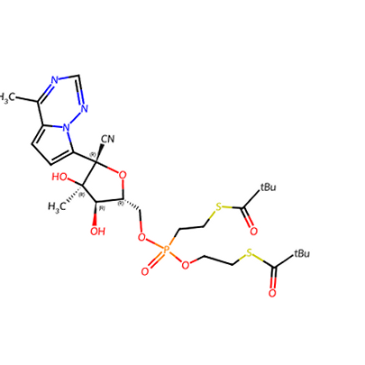 Cc1ncnn2c([C@]3(C#N)O[C@H](COP(=O)(CCSC(=O)C(C)(C)C)OCCSC(=O)C(C)(C)C)[C@@H](O)[C@@]3(C)O)ccc12